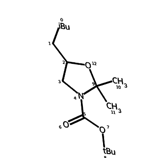 CCC(C)CC1CN(C(=O)OC(C)(C)C)C(C)(C)O1